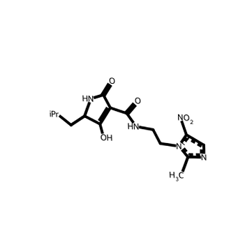 Cc1ncc([N+](=O)[O-])n1CCNC(=O)C1=C(O)C(CC(C)C)NC1=O